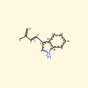 C=C(C)/C=C/c1c[nH]c2ccccc12